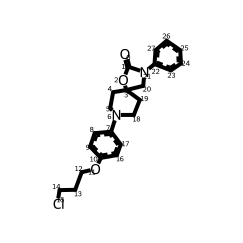 O=C1OC2(CCN(c3ccc(OCCCCl)cc3)CC2)CN1c1ccccc1